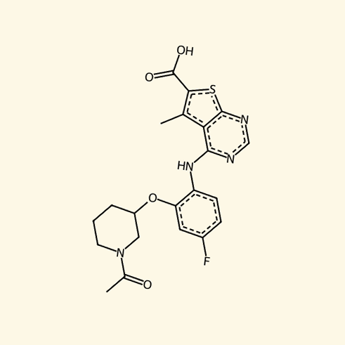 CC(=O)N1CCCC(Oc2cc(F)ccc2Nc2ncnc3sc(C(=O)O)c(C)c23)C1